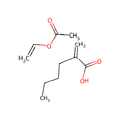 C=C(CCCC)C(=O)O.C=COC(C)=O